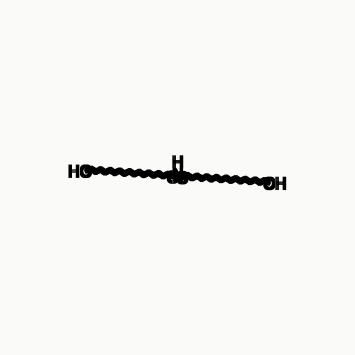 OCCCCCCCCCCCCCCCCCONOCCCCCCCCCCCCCCCCCO